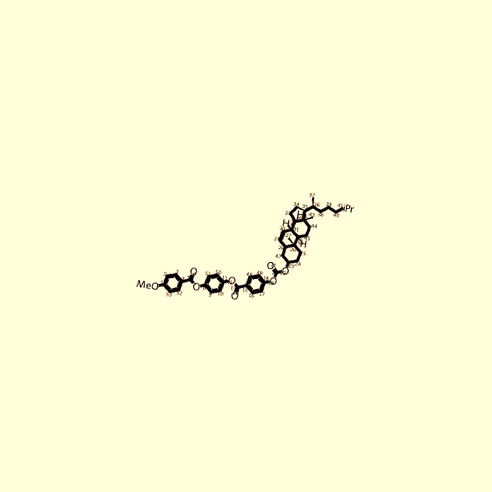 COc1ccc(C(=O)Oc2ccc(OC(=O)c3ccc(OC(=O)OC4CC[C@]5(C)C(C=C[C@@H]6[C@H]7CC[C@@H]([C@@H](C)CCCC(C)C)[C@]7(C)CC[C@H]65)C4)cc3)cc2)cc1